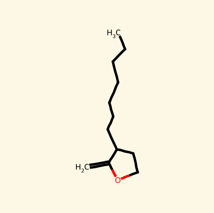 C=C1OCCC1CCCCCCC